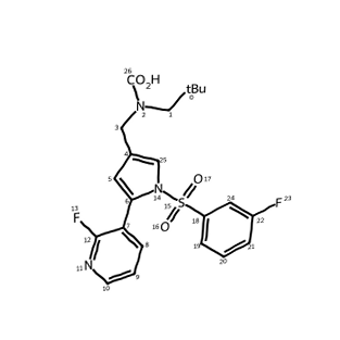 CC(C)(C)CN(Cc1cc(-c2cccnc2F)n(S(=O)(=O)c2cccc(F)c2)c1)C(=O)O